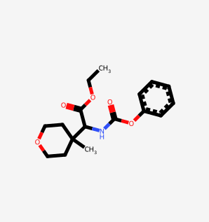 CCOC(=O)C(NC(=O)Oc1ccccc1)C1(C)CCOCC1